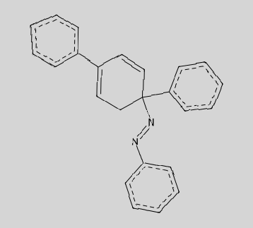 C1=CC(N=Nc2ccccc2)(c2ccccc2)CC=C1c1ccccc1